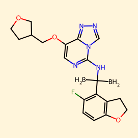 BC(B)(Nc1ncc(OCC2CCOC2)c2nncn12)c1c(F)ccc2c1CCO2